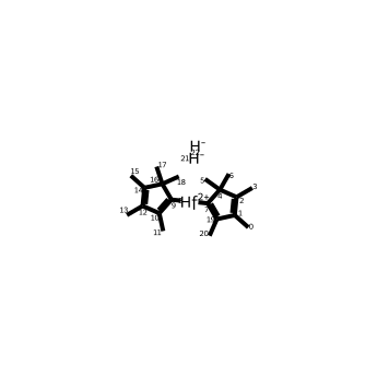 CC1=C(C)C(C)(C)[C]([Hf+2][C]2=C(C)C(C)=C(C)C2(C)C)=C1C.[H-].[H-]